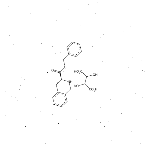 O=C(O)C(O)C(O)C(=O)O.O=C(OCc1ccccc1)[C@@H]1Cc2ccccc2CN1